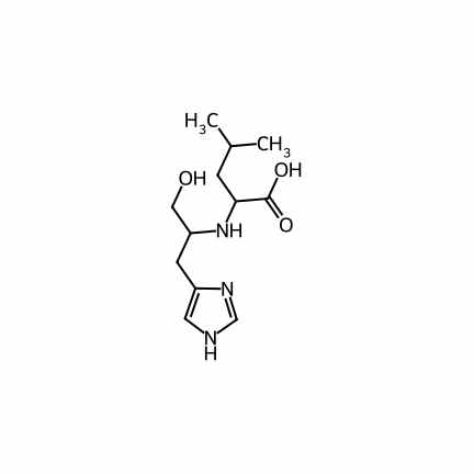 CC(C)CC(NC(CO)Cc1c[nH]cn1)C(=O)O